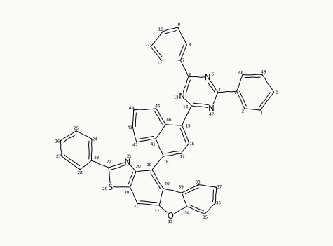 c1ccc(-c2nc(-c3ccccc3)nc(-c3ccc(-c4c5nc(-c6ccccc6)sc5cc5oc6ccccc6c45)c4ccccc34)n2)cc1